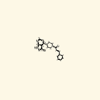 O=C(C=Cc1ccccc1)N1CCN(c2ncnc3[nH]nc(Br)c23)CC1